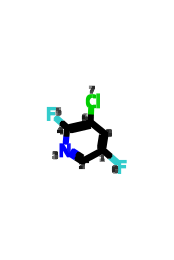 Fc1[c]nc(F)c(Cl)c1